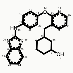 OC1CCCC(Cc2cccnc2Oc2ccc(Nc3nc4ccccc4s3)cc2)C1